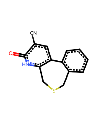 N#Cc1cc2c([nH]c1=O)CSCc1ccccc1-2